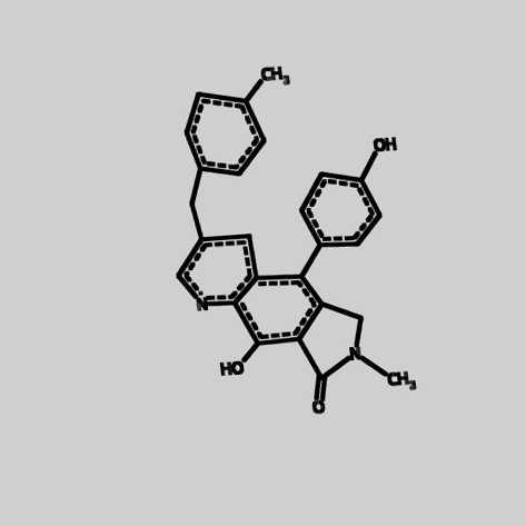 Cc1ccc(Cc2cnc3c(O)c4c(c(-c5ccc(O)cc5)c3c2)CN(C)C4=O)cc1